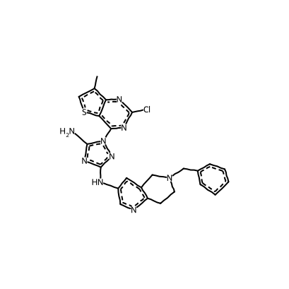 Cc1csc2c(-n3nc(Nc4cnc5c(c4)CN(Cc4ccccc4)CC5)nc3N)nc(Cl)nc12